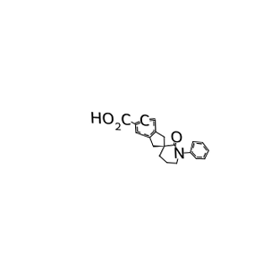 O=C(O)c1ccc2c(c1)C[C@@]1(CCCN(c3ccccc3)C1=O)C2